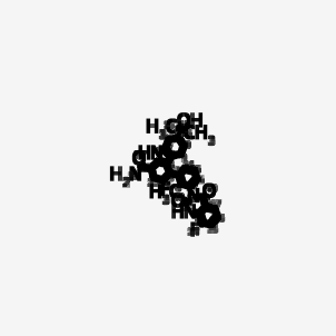 Cc1c(C2c3c([nH]c4c3CC[C@H](C(C)(C)O)C4)C(C(N)=O)CC2F)cccc1-n1c(=O)[nH]c2c(F)cccc2c1=O